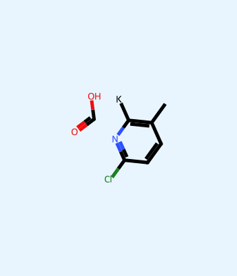 Cc1ccc(Cl)n[c]1[K].O=CO